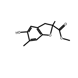 COC(=O)C1(C)Cc2cc(O)c(C)cc2O1